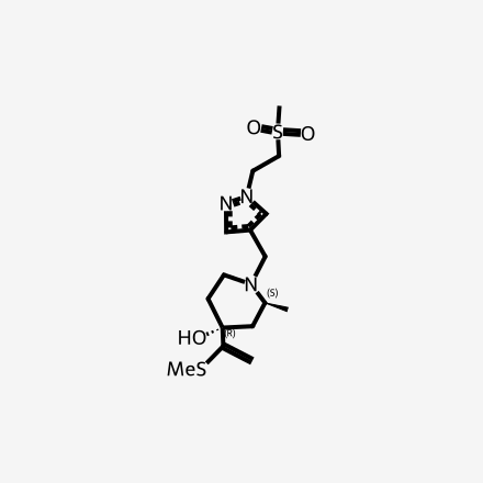 C=C(SC)[C@@]1(O)CCN(Cc2cnn(CCS(C)(=O)=O)c2)[C@@H](C)C1